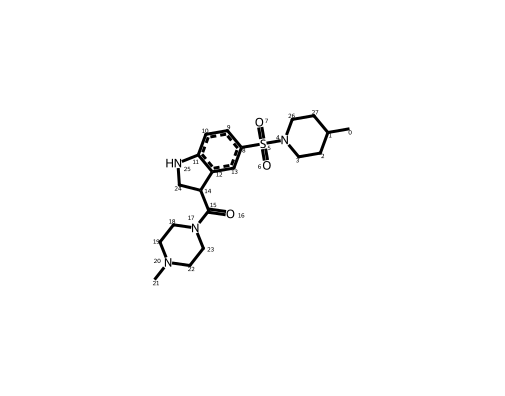 CC1CCN(S(=O)(=O)c2ccc3c(c2)C(C(=O)N2CCN(C)CC2)CN3)CC1